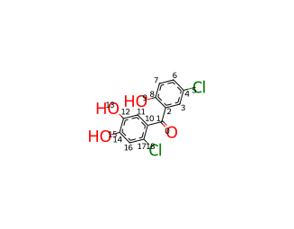 O=C(c1cc(Cl)ccc1O)c1cc(O)c(O)cc1Cl